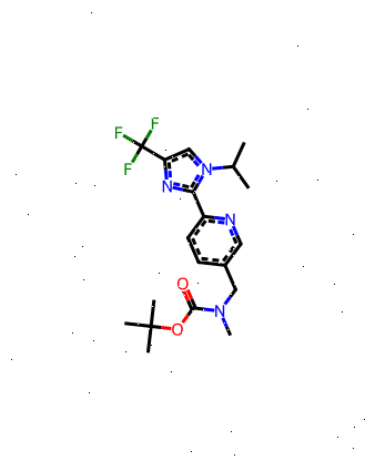 CC(C)n1cc(C(F)(F)F)nc1-c1ccc(CN(C)C(=O)OC(C)(C)C)cn1